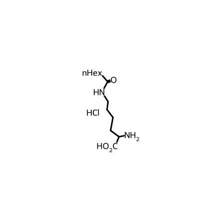 CCCCCCC(=O)NCCCCC(N)C(=O)O.Cl